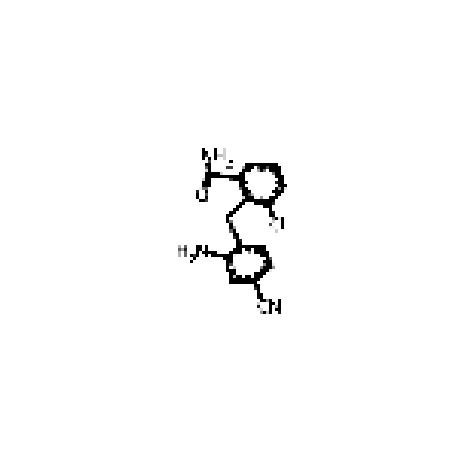 N#Cc1ccc(Cc2c(Cl)cccc2C(N)=O)c(N)c1